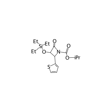 CC[Si](CC)(CC)OC1C(=O)N(C(=O)OC(C)C)C1c1cccs1